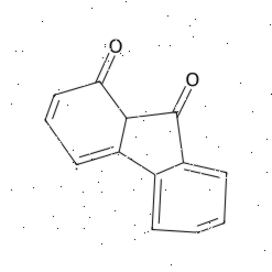 O=C1C=C[C]=C2c3ccccc3C(=O)C12